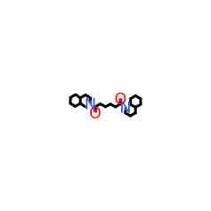 O=C(CCCCC(=O)N1CCCC2CCCCC21)N1CCC2CCCCC2C1